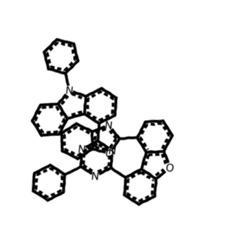 c1ccc(-c2nc(-c3cccc4oc5cccc(-c6nc7ccccc7o6)c5c34)nc(-c3cccc4c3c3ccccc3n4-c3ccccc3)n2)cc1